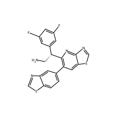 NC[C@H](c1cc(F)cc(F)c1)c1nc2ncsc2cc1-c1ccc2scnc2c1